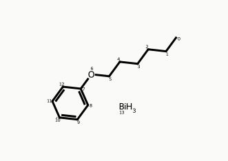 CCCCCCOc1cc[c]cc1.[BiH3]